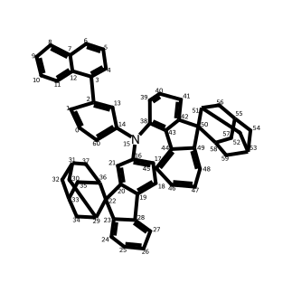 c1cc(-c2cccc3ccccc23)cc(N(c2ccc3c(c2)C2(c4ccccc4-3)C3CC4CC(C3)CC2C4)c2cccc3c2-c2ccccc2C32C3CC4CC(C3)CC2C4)c1